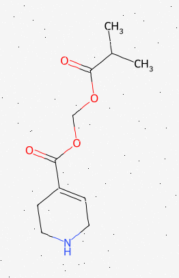 CC(C)C(=O)OCOC(=O)C1=CCNCC1